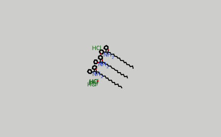 CCCCCCCCCCCCCCCCC(C)(C)C(N)(c1ccccc1)c1ccccc1.CCCCCCCCCCCCCCCCC(C)(C)C(N)(c1ccccc1)c1ccccc1.CCCCCCCCCCCCCCCCC(C)(C)C(N)(c1ccccc1)c1ccccc1.Cl.Cl.Cl.Cl.Cl